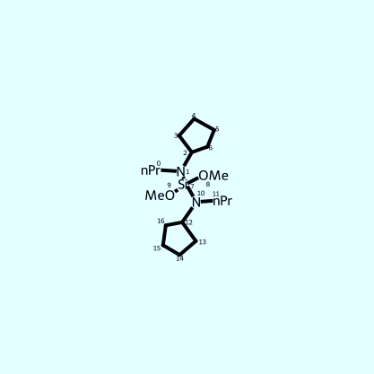 CCCN(C1CCCC1)[Si](OC)(OC)N(CCC)C1CCCC1